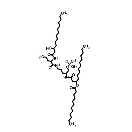 CCCCCCCCCCCC(=O)OC(CCCCCCCCCCC)CC(=O)NC(CCCNC(=O)C(CCO)NC(=O)CC(O)CCCCCCCCCCC)COP(=O)(O)O